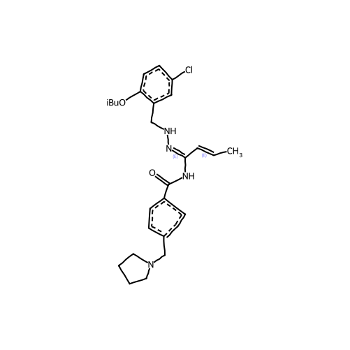 C/C=C/C(=N\NCc1cc(Cl)ccc1OCC(C)C)NC(=O)c1ccc(CN2CCCC2)cc1